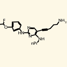 CCCNc1nc(Nc2cccc(OC(F)F)c2)ncc1C#CCCCN